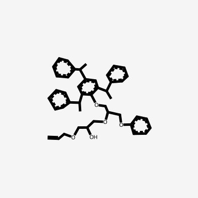 C=CCOCC(O)COC(COc1ccccc1)COc1c(C(C)c2ccccc2)cc(C(C)c2ccccc2)cc1C(C)c1ccccc1